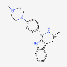 C[C@H]1Cc2c([nH]c3ccccc23)[C@H](c2ccc(N3CCN(C)CC3)cc2)N1